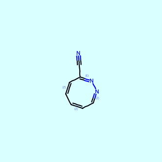 N#CC1=N/N=C\C=C/C=C\1